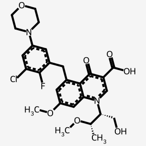 COc1cc(Cc2cc(N3CCOCC3)cc(Cl)c2F)c2c(=O)c(C(=O)O)cn([C@H](CO)[C@H](C)OC)c2c1